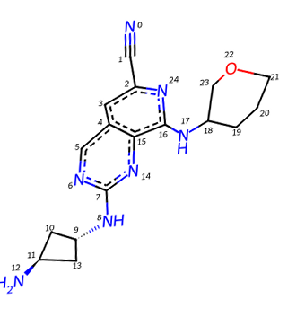 N#Cc1cc2cnc(N[C@H]3C[C@H](N)C3)nc2c(NC2CCCOC2)n1